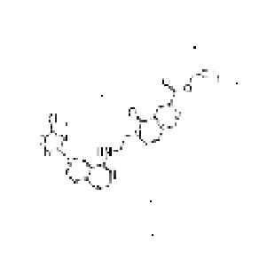 CCOC(=O)c1ccc2ccn(CCNc3nccc4ccc(-c5noc(C)n5)cc34)c(=O)c2c1